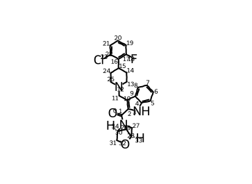 O=C(c1[nH]c2ccccc2c1CN1CCC(c2c(F)cccc2Cl)CC1)N1C[C@@H]2C[C@H]1CO2